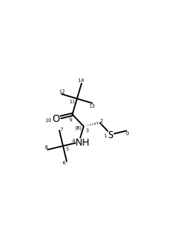 CSC[C@H](NC(C)(C)C)C(=O)C(C)(C)C